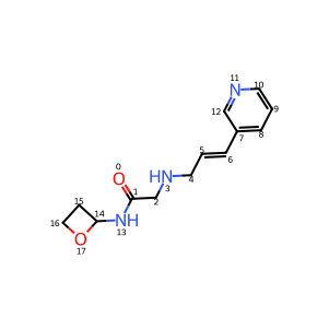 O=C(CNC/C=C/c1cccnc1)NC1CCO1